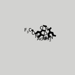 CC(=O)Nc1cc(C(C)N2CCOC(c3cc(OCC(F)(F)F)ncc3C(N)=O)C2)cc(C)n1